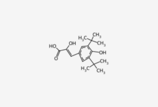 CC(C)(C)c1cc(C=C(O)C(=O)O)cc(C(C)(C)C)c1O